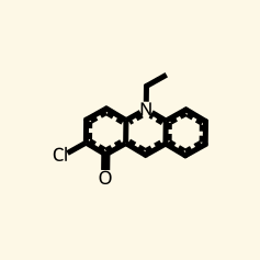 CCn1c2ccc(Cl)c(=O)c-2cc2ccccc21